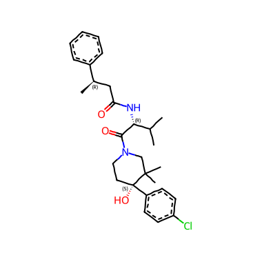 CC(C)[C@@H](NC(=O)C[C@@H](C)c1ccccc1)C(=O)N1CC[C@](O)(c2ccc(Cl)cc2)C(C)(C)C1